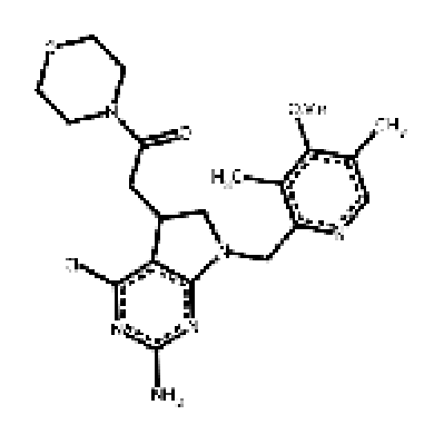 COc1c(C)cnc(CN2CC(CC(=O)N3CCOCC3)c3c(Cl)nc(N)nc32)c1C